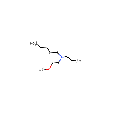 CCCCCCCCCCCCN(CCCCS(=O)(=O)O)CCOCCC